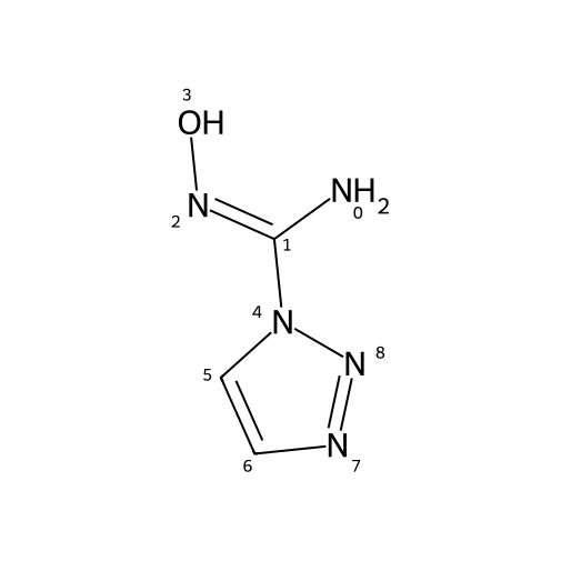 NC(=NO)n1ccnn1